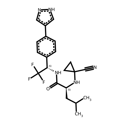 CC(C)C[C@H](NC1(C#N)CC1)C(=O)N[C@@H](c1ccc(-c2cn[nH]c2)cc1)C(F)(F)F